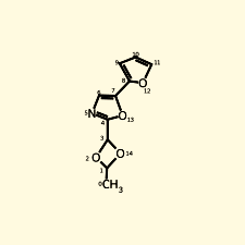 CC1OC(c2ncc(-c3ccco3)o2)O1